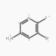 Nc1cnc(F)c(Br)c1